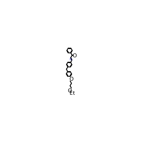 CCOCCCCOc1ccc(Cc2ccc(/C=C/C(=O)c3ccccc3)cc2)cc1